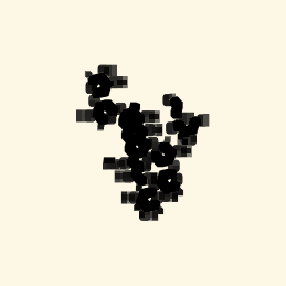 CO[C@H](C(=O)[C@@H](O)[C@@H](C)O)C1Cc2cc3cc(O[C@H]4C[C@@H](O[C@H]5C[C@@H](O)[C@H](O)[C@@H](C)O5)[C@@H](O)[C@@H](C)O4)c(C)c(O)c3c(O)c2C(=O)[C@H]1O[C@H]1C[C@@H](O[C@H]2C[C@@H](O[C@H]3C[C@](C)(O)[C@H](O)[C@@H](C)O3)[C@H](O)[C@@H](C)O2)[C@H](O)[C@@H](C)O1.O=NN(CCCl)C(=O)NCCCl